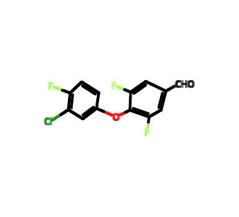 O=Cc1cc(F)c(Oc2ccc(F)c(Cl)c2)c(F)c1